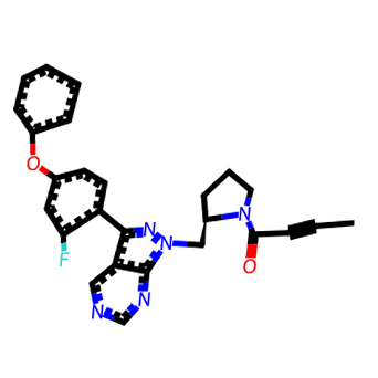 CC#CC(=O)N1CCC[C@@H]1Cn1nc(-c2ccc(Oc3ccccc3)cc2F)c2cncnc21